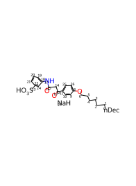 CCCCCCCCCCCCCCCCOc1ccc(C(=O)CC(=O)Nc2cccc(S(=O)(=O)O)c2)cc1.[NaH]